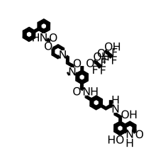 Cc1ccc(C(=O)NCc2ccc(CC(C)NC[C@H](O)c3ccc(O)c4[nH]c(=O)ccc34)cc2)cc1N(C)C(=O)CCN1CCC(OC(=O)Nc2ccccc2-c2ccccc2)CC1.O=C(O)C(F)(F)F.O=C(O)C(F)(F)F